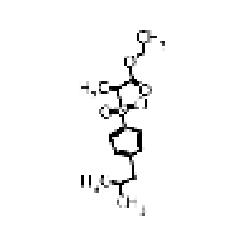 C=C(C(=O)OCC)S(=O)(=O)c1ccc(CC(C)C)cc1